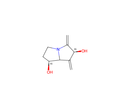 C=C1C2[C@@H](O)CCN2C(=C)[C@H]1O